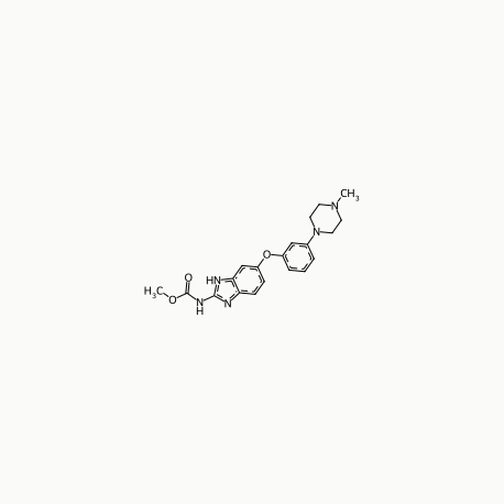 COC(=O)Nc1nc2ccc(Oc3cccc(N4CCN(C)CC4)c3)cc2[nH]1